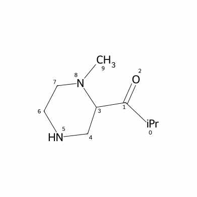 CC(C)C(=O)C1CNCCN1C